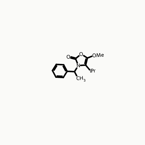 COc1oc(=O)n(C(C)c2ccccc2)c1C(C)C